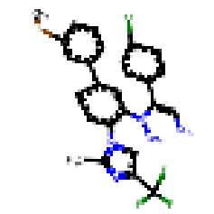 CSc1cccc(-c2ccc(-n3cc(C(F)(F)F)nc3C)c(N(N)/C(=C\N)c3ccc(Cl)cc3)c2)c1